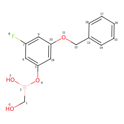 OCB(O)Oc1cc(F)cc(OCc2ccccc2)c1